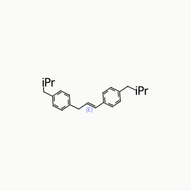 CC(C)Cc1ccc(/C=C/Cc2ccc(CC(C)C)cc2)cc1